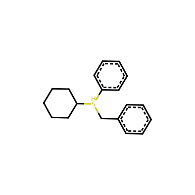 c1ccc(C[SH](c2ccccc2)C2CCCCC2)cc1